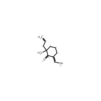 C=CCC1(C)CCC/C(=C\O)C1=O